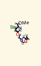 CO[C@H](C)c1ncc(OCCN2CCOC3(CC3)C2)cc1Br